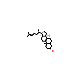 CC(C)=CCC[C@@H](C)[C@H]1CC[C@H]2C3=C(CC[C@]12C)[C@@]1(C)CC[C@@H](O)CC1CC3